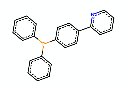 c1ccc(P(c2ccccc2)c2ccc(-c3ccccn3)cc2)cc1